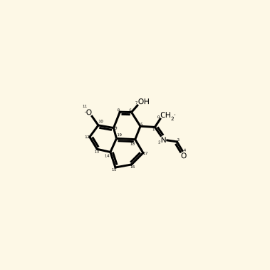 [CH2]C(=NC=O)C1C(O)=Cc2c([O])ccc3cccc1c23